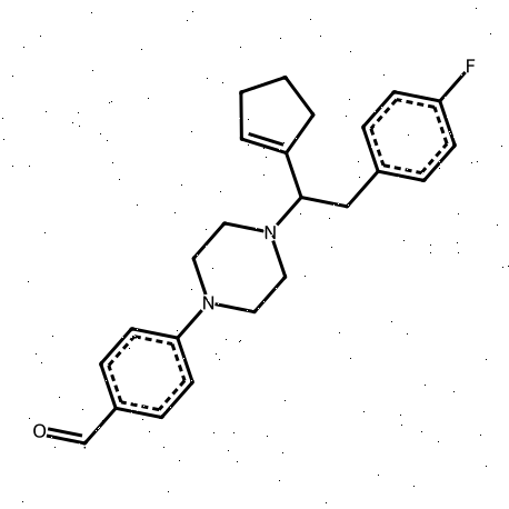 O=[C]c1ccc(N2CCN(C(Cc3ccc(F)cc3)C3=CCCC3)CC2)cc1